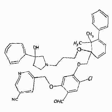 CC1(C)C(c2ccccc2)=CC=CC1(COc1cc(OCc2cncc(C#N)c2)c(C=O)cc1Cl)OCCCN1CCC(O)(c2ccccc2)C1